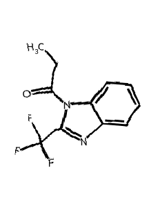 CCC(=O)n1c(C(F)(F)F)nc2ccccc21